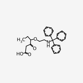 CCC(OCCNC(c1ccccc1)(c1ccccc1)c1ccccc1)C(=O)CC(=O)O